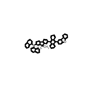 CC1(C)c2cc(-c3c4ccccc4c(-c4ccc5oc6ccccc6c5c4)c4ccccc34)ccc2-c2ccc(N(c3cccc4ccccc34)c3cccc4ccccc34)cc21